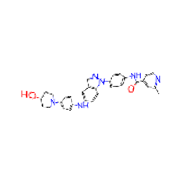 Cc1cc(C(=O)Nc2ccc(-n3ncc4cc(Nc5ccc(N6CCC(O)CC6)cc5)ccc43)cc2)ccn1